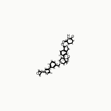 O=C1CC[C@H](N2Cc3c(ccc4c3OC[C@@]43CCN(Cc4cccc(-c5cnn(C6COC6)c5)c4)CC3(F)F)C2=O)C(=O)N1